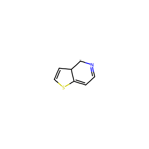 [C]1N=CC=C2SC=CC12